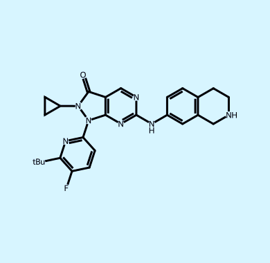 CC(C)(C)c1nc(-n2c3nc(Nc4ccc5c(c4)CNCC5)ncc3c(=O)n2C2CC2)ccc1F